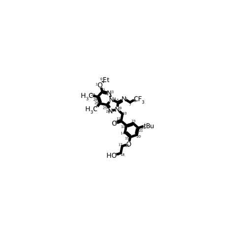 CCOc1nn2/c(=N/CC(F)(F)F)n(CC(=O)c3cc(OCCO)cc(C(C)(C)C)c3)nc2c(C)c1C